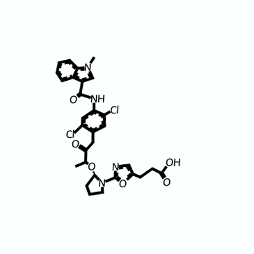 CC(O[C@H]1CCCN1c1ncc(CCC(=O)O)o1)C(=O)Cc1cc(Cl)c(NC(=O)c2cn(C)c3ccccc23)cc1Cl